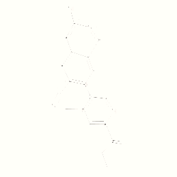 CCC(=O)c1cc(C)c(-c2cc3cnc(N)cc3cc2C#N)cn1